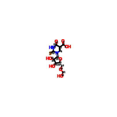 O=C(O)c1cn([C@@H]2O[C@H](COCO)[C@@H](O)[C@H]2O)c(=S)[nH]c1=O